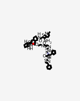 Cc1ccc2c(N)c(C(=O)N[C@H]3CCc4cc(N5C[C@H]6CC[C@@H](C5)C6C(=O)NCCOCCNC(=O)c5cnc(N/N=C6/C(=O)N(c7nc(-c8ccccc8)cs7)N=C6c6ccccc6)s5)ccc4C3)sc2n1